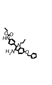 CCCn1c(-c2ccc(NC(=O)OCC)cc2)c(N)c2ccc(OCc3ccccc3)cc21